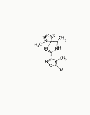 CCCN(C)C(CC)(CC)C(C)NC(=O)c1noc(CC)c1C